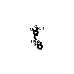 Cc1ccccc1S(=O)(=O)NCCc1ccc(C(=O)O)c(Cl)c1